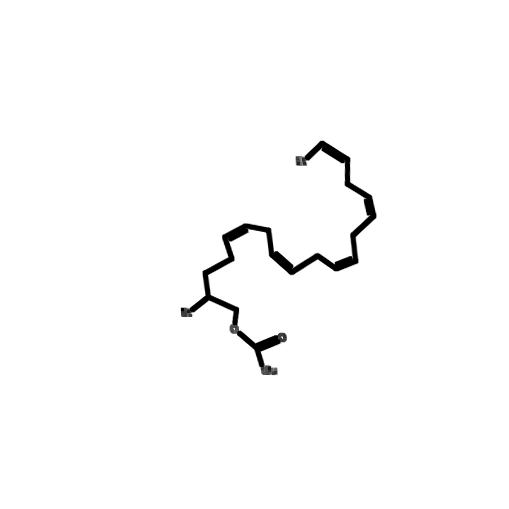 CC/C=C\C/C=C\C/C=C\C/C=C\C/C=C\CCC(CC)COC(=O)C(C)(C)C